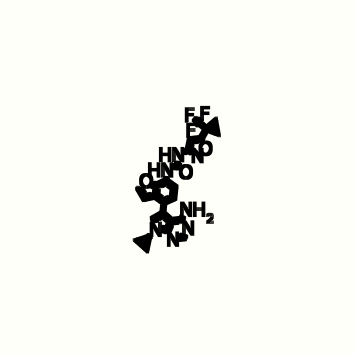 Nc1ncnc2c1c(-c1ccc(NC(=O)Nc3cc(C4(C(F)(F)F)CC4)on3)c3occc13)cn2C1CC1